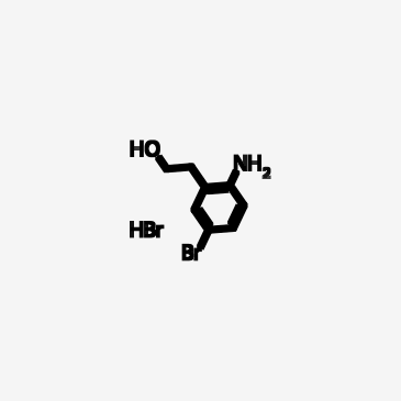 Br.Nc1ccc(Br)cc1CCO